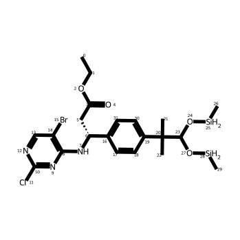 CCOC(=O)C[C@@H](Nc1nc(Cl)ncc1Br)c1ccc(C(C)(C)C(O[SiH2]C)O[SiH2]C)cc1